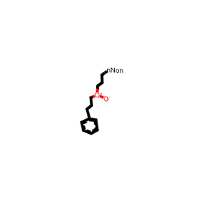 CCCCCCCCCCCC[O+]([O-])CCCc1ccccc1